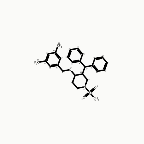 CS(=O)(=O)N1CCC(OCc2cc(C(F)(F)F)cc(C(F)(F)F)c2)C(C(c2ccccc2)c2ccccc2)C1